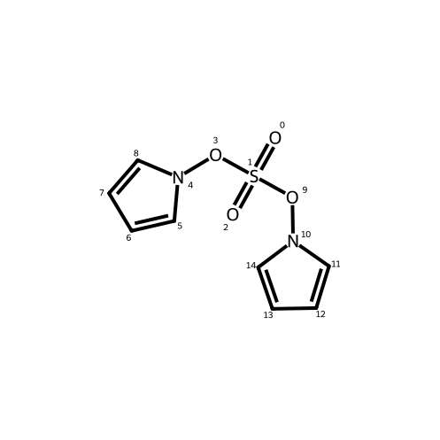 O=S(=O)(On1cccc1)On1cccc1